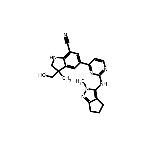 Cn1nc2c(c1Nc1nccc(-c3cc(C#N)c4c(c3)C(C)(CO)CN4)n1)CCC2